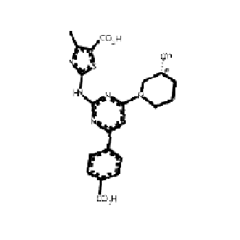 Cc1nc(Nc2nc(-c3ccc(C(=O)O)cc3)cc(N3CCC[C@@H](O)C3)n2)sc1C(=O)O